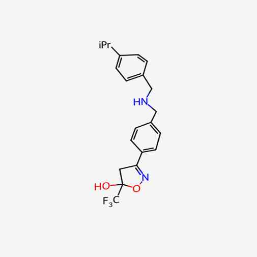 CC(C)c1ccc(CNCc2ccc(C3=NOC(O)(C(F)(F)F)C3)cc2)cc1